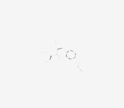 CCOC(=O)C(Oc1cccc(CCN)c1)C(=O)OCC